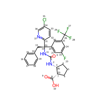 O=C(N[C@@H]1CCC[C@@H]1C(=O)O)N[C@@](Cc1ccccc1)(c1cc(F)cc(C(F)(F)F)c1)c1ccc(Cl)cn1